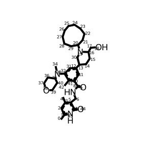 Cc1cc(C)c(CNC(=O)c2cc(C3CCC(CO)N(C4CCCCCCCCC4)C3)cc(N(C)C3CCOCC3)c2C)c(=O)[nH]1